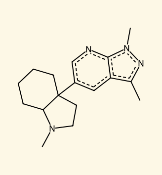 Cc1nn(C)c2ncc(C34CCCCC3N(C)CC4)cc12